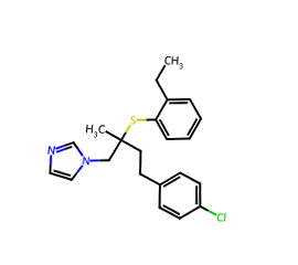 CCc1ccccc1SC(C)(CCc1ccc(Cl)cc1)Cn1ccnc1